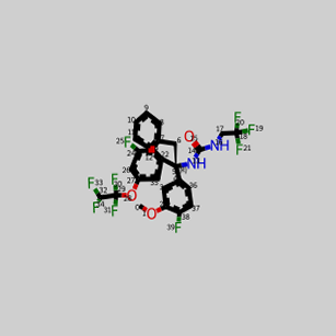 COc1cc([C@@](Cc2ccccc2)(NC(=O)NCC(F)(F)F)c2cc(F)cc(OC(F)(F)C(F)F)c2)ccc1F